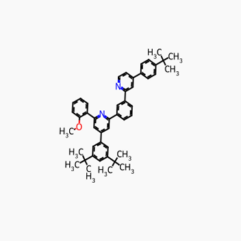 COc1ccccc1-c1cc(-c2cc(C(C)(C)C)cc(C(C)(C)C)c2)cc(-c2cccc(-c3cc(-c4ccc(C(C)(C)C)cc4)ccn3)c2)n1